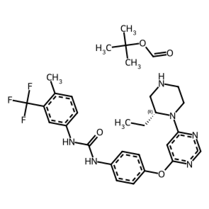 CC(C)(C)OC=O.CC[C@@H]1CNCCN1c1cc(Oc2ccc(NC(=O)Nc3ccc(C)c(C(F)(F)F)c3)cc2)ncn1